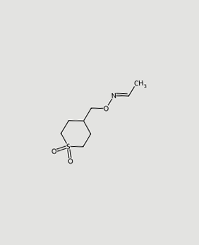 C/C=N/OCC1CCS(=O)(=O)CC1